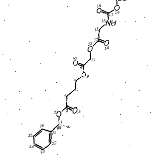 C[C@@H](OC(=O)CCCOC(=O)COC(=O)CNC(=O)OC(C)(C)C)c1ccccc1